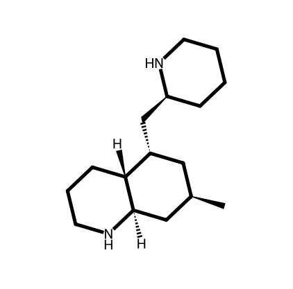 C[C@@H]1C[C@@H](C[C@@H]2CCCCN2)[C@H]2CCCN[C@@H]2C1